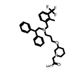 Cc1c(CN(CCCOC2CCCN(CC(=O)O)C2)CC(c2ccccc2)c2ccccc2)cccc1C(F)(F)F